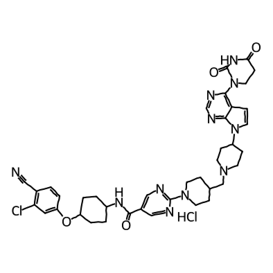 Cl.N#Cc1ccc(OC2CCC(NC(=O)c3cnc(N4CCC(CN5CCC(n6ccc7c(N8CCC(=O)NC8=O)ncnc76)CC5)CC4)nc3)CC2)cc1Cl